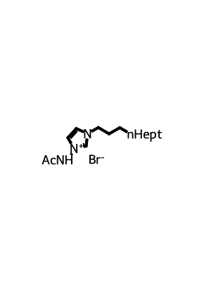 CCCCCCCCCCn1cc[n+](NC(C)=O)c1.[Br-]